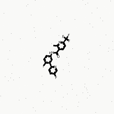 Cc1nc(C(F)(F)F)ccc1C(=O)Nc1ccc(I)c(-c2ccc(F)cn2)c1